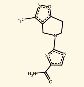 NC(=O)c1cnc(N2CCc3onc(C(F)(F)F)c3C2)s1